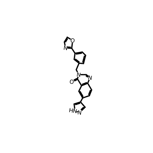 O=c1c2cc(-c3cn[nH]c3)ccc2ncn1Cc1cccc(-c2ncco2)c1